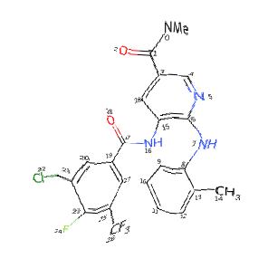 CNC(=O)c1cnc(Nc2ccccc2C)c(NC(=O)c2cc(Cl)c(F)c(C(F)(F)F)c2)c1